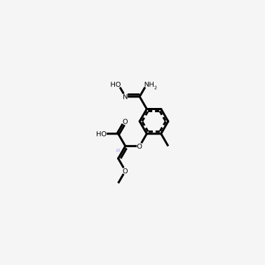 CO/C=C(\Oc1cc(C(N)=NO)ccc1C)C(=O)O